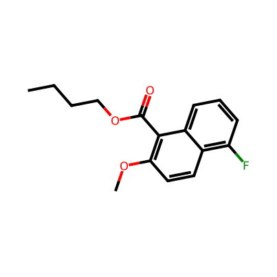 CCCCOC(=O)c1c(OC)ccc2c(F)cccc12